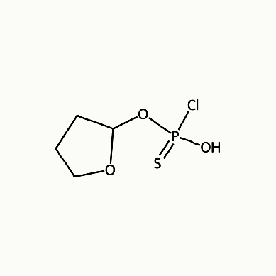 OP(=S)(Cl)OC1CCCO1